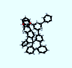 c1ccc(-c2nc(-c3cccnc3)cc(-c3ccc4c(c3)C3(c5ccccc5-c5ccccc5-4)c4ccccc4-c4c3ccc3c4oc4ccccc43)n2)cc1